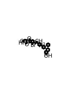 CN(Cc1ccc2c(c1Br)CN(C1CCC(=O)NC1=O)C2=O)C1CCN(c2ccc([C@@H]3c4ccc(O)cc4CC[C@@H]3c3ccccc3)cc2)CC1